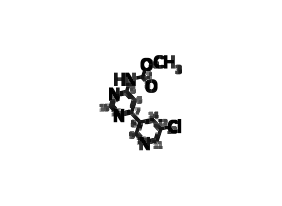 COC(=O)Nc1cc(-c2cncc(Cl)c2)ncn1